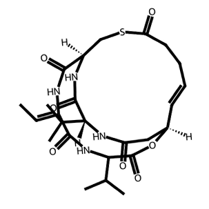 C/C=C1\NC(=O)[C@H]2CSC(=O)CC/C=C/[C@H](CC(=O)N[C@H](C(C)C)C(=O)N2)OC(=O)C(C(C)C)NC1=O